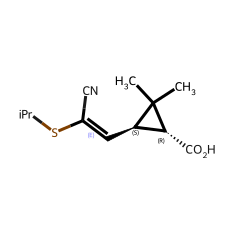 CC(C)S/C(C#N)=C/[C@@H]1[C@@H](C(=O)O)C1(C)C